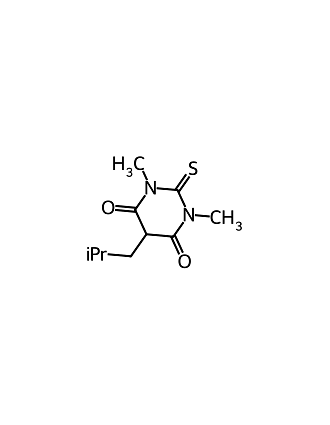 CC(C)CC1C(=O)N(C)C(=S)N(C)C1=O